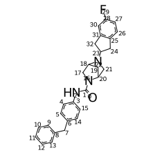 O=C(Nc1ccc(Cc2ccccc2)cc1)N1CC2CC1CN2C1Cc2ccc(F)cc2C1